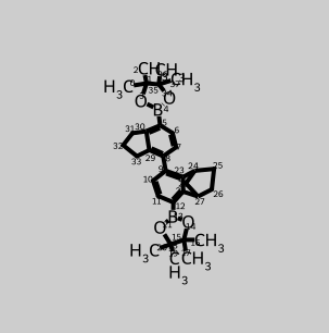 CC1(C)OB(c2ccc(-c3ccc(B4OC(C)(C)C(C)(C)O4)c4c3C3CCC4C3)c3c2CCC3)OC1(C)C